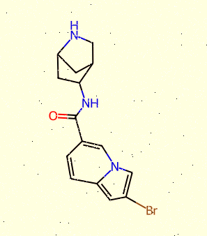 O=C(NC1CC2CC1CN2)c1ccc2cc(Br)cn2c1